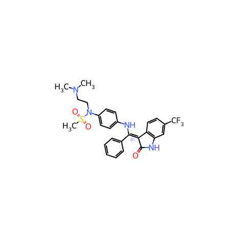 CN(C)CCN(c1ccc(N/C(=C2/C(=O)Nc3cc(C(F)(F)F)ccc32)c2ccccc2)cc1)S(C)(=O)=O